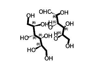 O=C[C@H](O)[C@@H](O)[C@H](O)[C@H](O)CO.OC[C@@H](O)[C@@H](O)[C@H](O)[C@H](O)CO